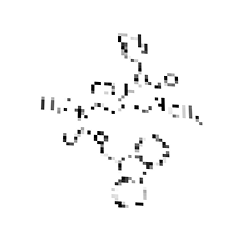 C=CCOC(=O)N(C)CCCC(C(=O)O)N(C)C(=O)OCC1c2ccccc2-c2ccccc21